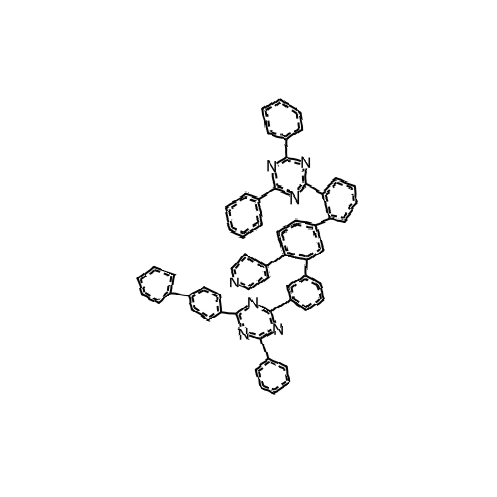 c1ccc(-c2ccc(-c3nc(-c4ccccc4)nc(-c4cccc(-c5cc(-c6ccccc6-c6nc(-c7ccccc7)nc(-c7ccccc7)n6)ccc5-c5ccncc5)c4)n3)cc2)cc1